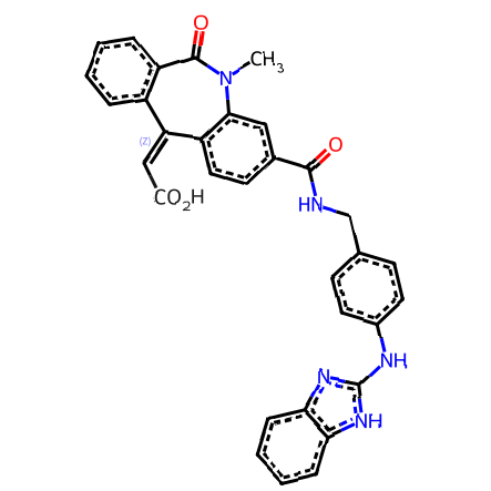 CN1C(=O)c2ccccc2/C(=C/C(=O)O)c2ccc(C(=O)NCc3ccc(Nc4nc5ccccc5[nH]4)cc3)cc21